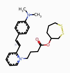 CN(C)c1ccc(/C=C/c2cccc[n+]2CCCC(=O)OC2CCCSSC2)cc1